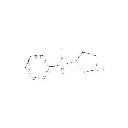 O=S(=O)(c1[c]cccc1)C1CCNC1